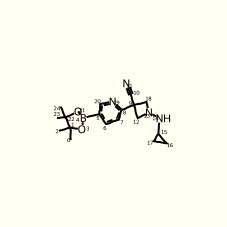 CC1(C)OB(c2ccc(C3(C#N)CN(NC4CC4)C3)nc2)OC1(C)C